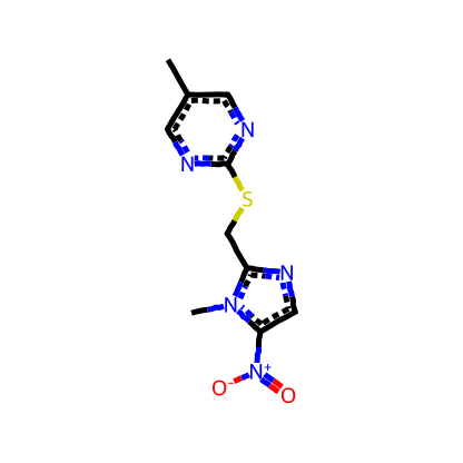 Cc1cnc(SCc2ncc([N+](=O)[O-])n2C)nc1